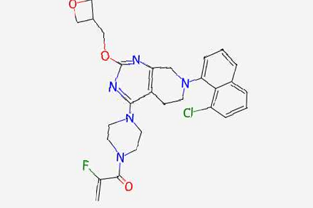 C=C(F)C(=O)N1CCN(c2nc(OCC3COC3)nc3c2CCN(c2cccc4cccc(Cl)c24)C3)CC1